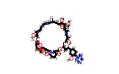 COC1CC(C[C@@H](C)[C@@H]2CC(=O)[C@H](C)/C=C(\C)[C@H]3OC(C[C@H](C)/C=C/C=C/C=C(\C)[C@@H](OC)C[C@@H]4CCC(C)[C@](O)(O4)C(=O)C(=O)N4CCCCC4C(=O)O2)C(=O)C3OC)CCC1n1ncnn1